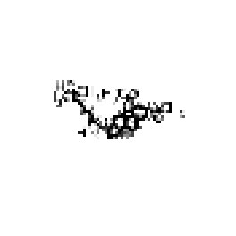 CC(=O)OC1CC2=CC=C3[C@@H]4CC[C@H](C(C)SCCCCCC(C)(C)O)[C@@]4(C)CC[C@@H]3[C@@]2(C)C(OC(C)=O)C1